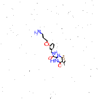 Cc1csc2nc(C(=O)NCc3cccc(OCCCN)c3)[nH]c(=O)c12